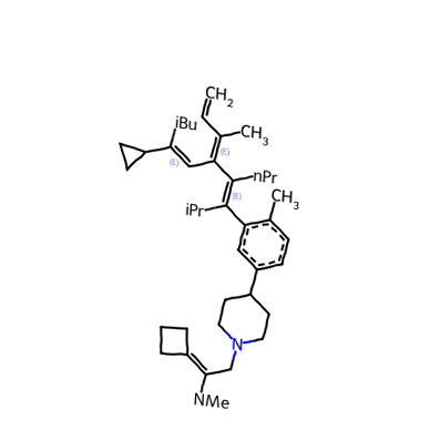 C=C/C(C)=C(\C=C(/C(C)CC)C1CC1)C(/CCC)=C(/c1cc(C2CCN(CC(NC)=C3CCC3)CC2)ccc1C)C(C)C